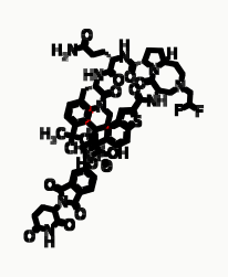 CC(C)(C)c1ccc(C[C@H](NC(=O)[C@H](CCC(N)=O)NC(=O)[C@@H]2CC[C@@H]3CCN(CC(F)F)C[C@H](NC(=O)c4cc5cc(C(F)(F)P(=O)(O)O)ccc5s4)C(=O)N32)C(=O)N2CCC(C3CN(c4ccc5c(c4)C(=O)N(C4CCC(=O)NC4=O)C5=O)C3)CC2)cc1